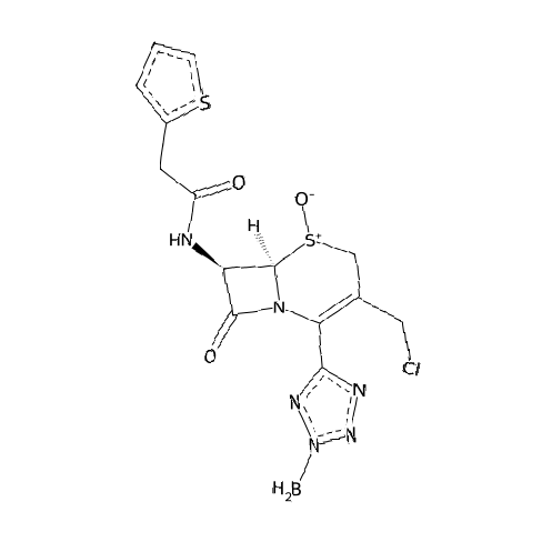 Bn1nnc(C2=C(CCl)C[S+]([O-])[C@@H]3[C@H](NC(=O)Cc4cccs4)C(=O)N23)n1